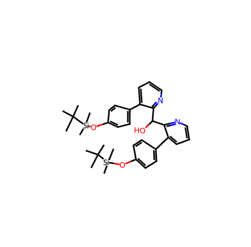 CC(C)(C)[Si](C)(C)Oc1ccc(-c2cccnc2C(O)c2ncccc2-c2ccc(O[Si](C)(C)C(C)(C)C)cc2)cc1